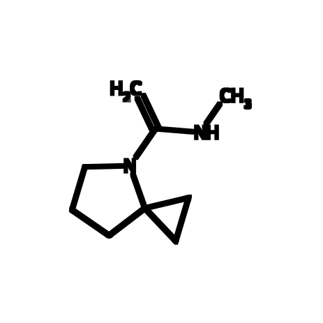 C=C(NC)N1CCCC12CC2